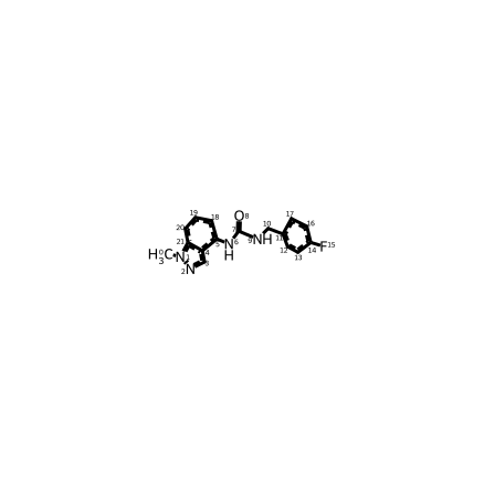 Cn1ncc2c(NC(=O)NCc3ccc(F)cc3)cccc21